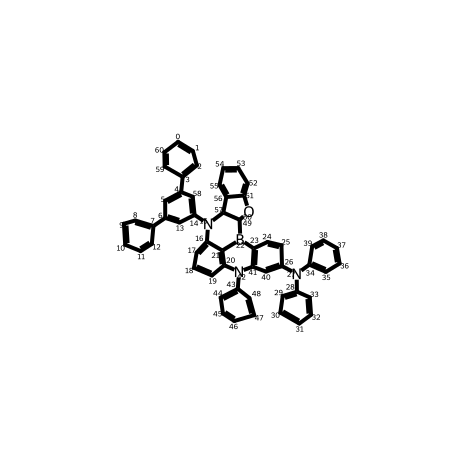 c1ccc(-c2cc(-c3ccccc3)cc(N3c4cccc5c4B(c4ccc(N(c6ccccc6)c6ccccc6)cc4N5c4ccccc4)C4Oc5ccccc5C43)c2)cc1